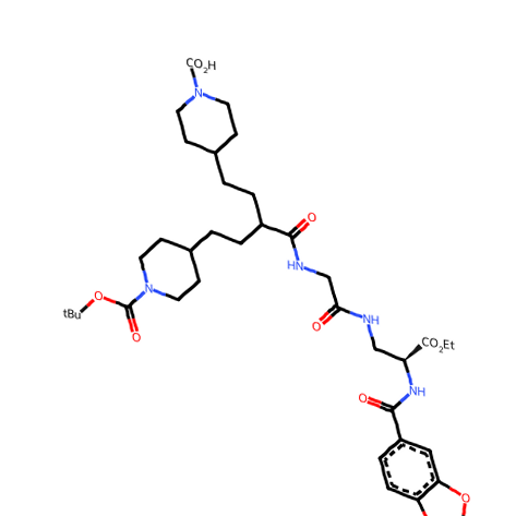 CCOC(=O)[C@H](CNC(=O)CNC(=O)C(CCC1CCN(C(=O)O)CC1)CCC1CCN(C(=O)OC(C)(C)C)CC1)NC(=O)c1ccc2c(c1)OCO2